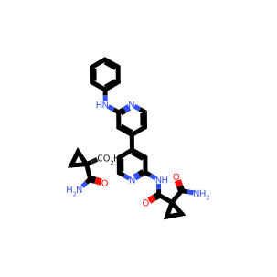 NC(=O)C1(C(=O)Nc2cc(-c3ccnc(Nc4ccccc4)c3)ccn2)CC1.NC(=O)C1(C(=O)O)CC1